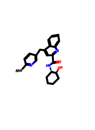 CSc1ccc(Cc2cc(C(=O)N[C@H]3CCCC[C@@H]3O)nc3ccccc23)cn1